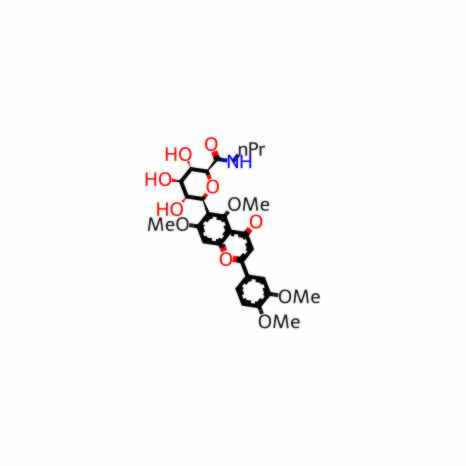 CCCNC(=O)[C@H]1O[C@@H](c2c(OC)cc3oc(-c4ccc(OC)c(OC)c4)cc(=O)c3c2OC)[C@H](O)[C@@H](O)[C@@H]1O